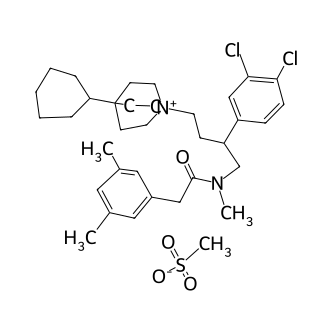 CS(=O)(=O)[O-].Cc1cc(C)cc(CC(=O)N(C)CC(CC[N+]23CCC(C4CCCCC4)(CC2)CC3)c2ccc(Cl)c(Cl)c2)c1